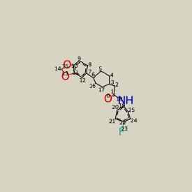 O=C(CC1CCC(c2ccc3c(c2)OCO3)CC1)Nc1ccc(F)cc1